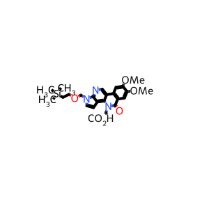 COc1cc2c(=O)n(CC(=O)O)c3c(cnc4c3ccn4COCC[Si](C)(C)C)c2cc1OC